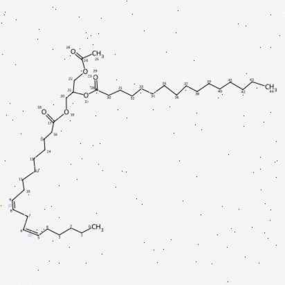 CCCCC/C=C\C/C=C\CCCCCCCC(=O)OCC(COC(C)=O)OC(=O)CCCCCCCCCCCCCCC